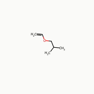 C=COC[C](C)C